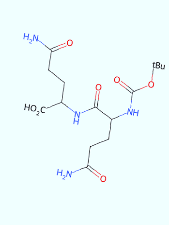 CC(C)(C)OC(=O)NC(CCC(N)=O)C(=O)NC(CCC(N)=O)C(=O)O